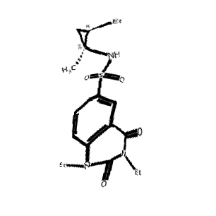 CC[C@@H]1C[C@]1(C)NS(=O)(=O)c1ccc2c(c1)c(=O)n(CC)c(=O)n2CC